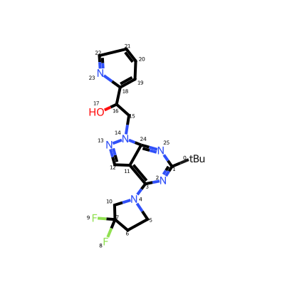 CC(C)(C)c1nc(N2CCC(F)(F)C2)c2cnn(CC(O)c3ccccn3)c2n1